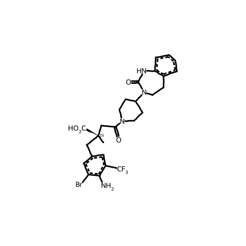 C[C@@](CC(=O)N1CCC(N2CCc3ccccc3NC2=O)CC1)(Cc1cc(Br)c(N)c(C(F)(F)F)c1)C(=O)O